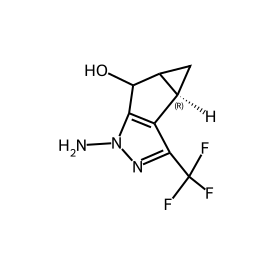 Nn1nc(C(F)(F)F)c2c1C(O)C1C[C@@H]21